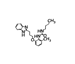 CCCCNC(=O)Nc1c(C)cccc1OCCCc1nc2ccccc2[nH]1